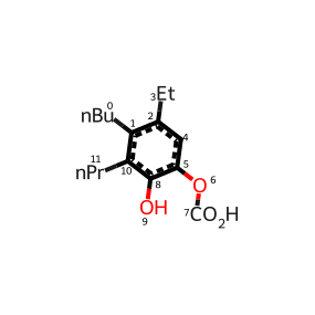 CCCCc1c(CC)cc(OC(=O)O)c(O)c1CCC